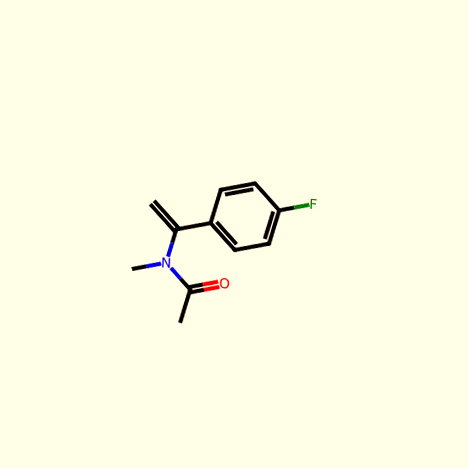 C=C(c1ccc(F)cc1)N(C)C(C)=O